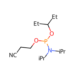 CCC(CC)OP(OCCC#N)N(C(C)C)C(C)C